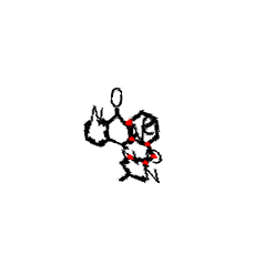 Cc1ccc(OC2CC3CCC2N(C(=O)c2ncccc2-c2ncccc2C)C3)nc1